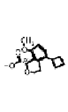 COc1ccc(C2CCC2)c2c1[C@@H](C(=O)O)OCC2